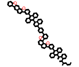 C=C(/C(C)=C/C=C\C)c1ccccc1C(=C)c1c2ccccc2c(-c2ccc3oc4c(ccc5ccc6oc7c(-c8ccc(C9=CC=C(c%10c%11ccccc%11c(-c%11ccc%12oc%13c%14cc%15oc%16ccccc%16c%15cc%14ccc%13c%12c%11)c%11ccccc%10%11)C%10C=CC=CC9%10)cc8)cccc7c6c54)c3c2)c2ccccc12